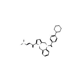 CN(C)/C=C/C(=O)c1ccc2n1Cc1ccccc1N(C(=O)c1ccc(C3CCCCC3)cc1)C2